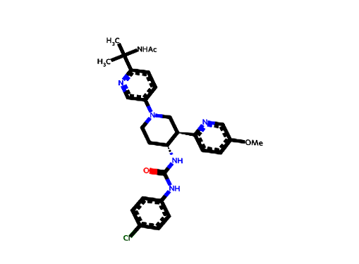 COc1ccc([C@@H]2CN(c3ccc(C(C)(C)NC(C)=O)nc3)CC[C@H]2NC(=O)Nc2ccc(Cl)cc2)nc1